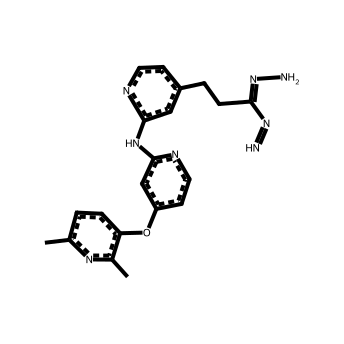 Cc1ccc(Oc2ccnc(Nc3cc(CC/C(N=N)=N/N)ccn3)c2)c(C)n1